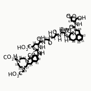 CC[C@H](C)[C@H](NC(=O)CNC(=O)CNC(=O)C(CCC(=O)O)NC(=S)Nc1ccc(CC2CN(CC(=O)O)CCN(CC(=O)O)CCN2CC(=O)O)cc1)C(=O)N[C@H]1CCc2cccc3c2N(C1=O)[C@H](C(=O)NC1CC(=O)OC1O)C3